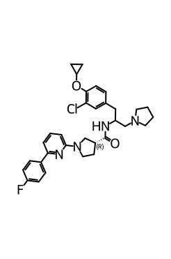 O=C(NC(Cc1ccc(OC2CC2)c(Cl)c1)CN1CCCC1)[C@@H]1CCN(c2cccc(-c3ccc(F)cc3)n2)C1